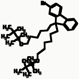 CC(C)(C)[Si](C)(C)OCCCCCCC1(CCCCCCO[Si](C)(C)C(C)(C)C)c2ccccc2-c2ccc(Br)cc21